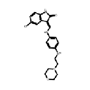 O=C1Nc2ccc(Cl)cc2/C1=C\Nc1ccc(NCCN2CCOCC2)cc1